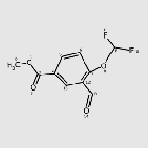 COC(=O)c1ccc(OC(F)F)c(C=O)c1